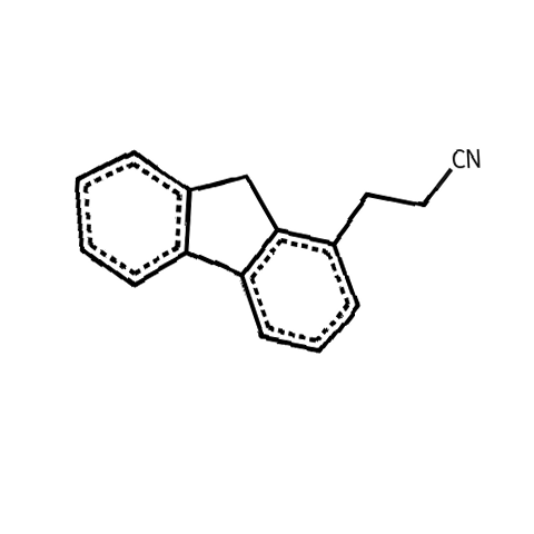 N#CCCc1cccc2c1Cc1ccccc1-2